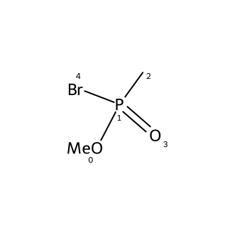 COP(C)(=O)Br